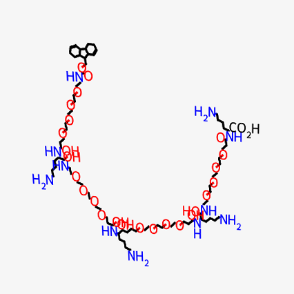 NCCCCC(NC(=O)CCOCCOCCOCCOCCNC(O)C(CCCCN)NC(O)CCOCCOCCOCCOCCCC(O)C(CCCCN)NC(O)CCOCCOCCOCCOCCNC(O)C(CCCCN)NC(O)CCOCCOCCOCCOCCNC(=O)OCC1C2C=CCCC2C2C=CCCC21)C(=O)O